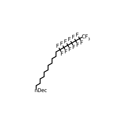 CCCCCCCCCCCCCCCCCCCCCC(F)(F)C(F)(F)C(F)(F)C(F)(F)C(F)(F)C(F)(F)C(F)(F)F